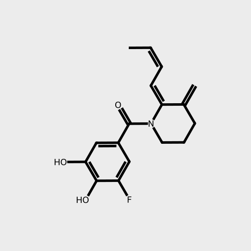 C=C1CCCN(C(=O)c2cc(O)c(O)c(F)c2)/C1=C/C=C\C